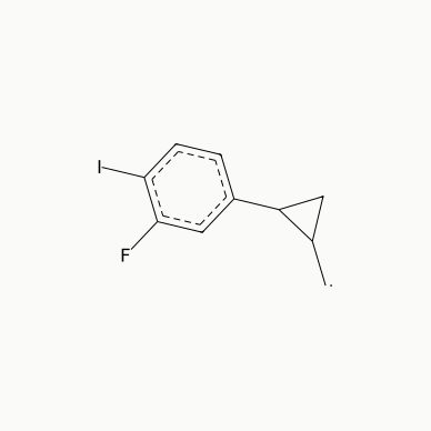 [CH2]C1CC1c1ccc(I)c(F)c1